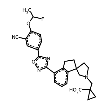 CC(F)Oc1ccc(-c2nc(-c3cccc4c3CCC43CCN(CC4(C(=O)O)CC4)C3)no2)cc1C#N